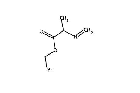 C=NC(C)C(=O)OCC(C)C